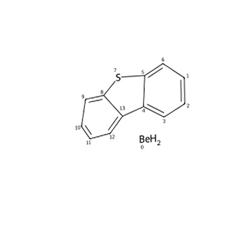 [BeH2].c1ccc2c(c1)sc1ccccc12